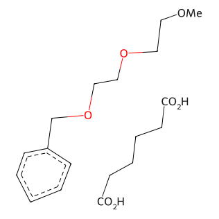 COCCOCCOCc1ccccc1.O=C(O)CCCCC(=O)O